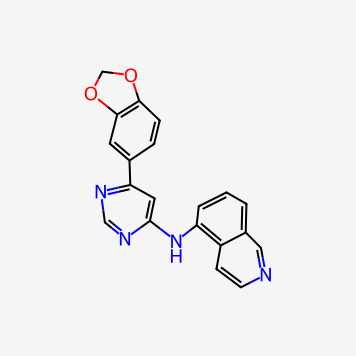 c1cc(Nc2cc(-c3ccc4c(c3)OCO4)ncn2)c2ccncc2c1